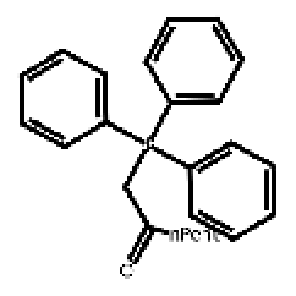 CCCCCC(=O)C[I](c1ccccc1)(c1ccccc1)c1ccccc1